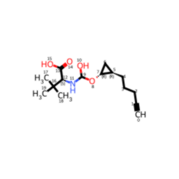 C#CCCC[C@@H]1C[C@H]1OC(O)N[C@H](C(=O)O)C(C)(C)C